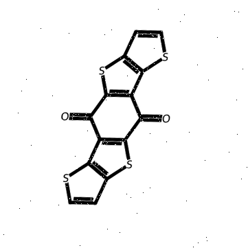 O=C1c2sc3ccsc3c2C(=O)c2sc3ccsc3c21